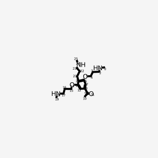 CNCCCOc1cc(C(C)=O)cc(OCCCNC)c1CCCNC